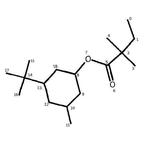 CCC(C)(C)C(=O)OC1CC(C)CC(C(C)(C)C)C1